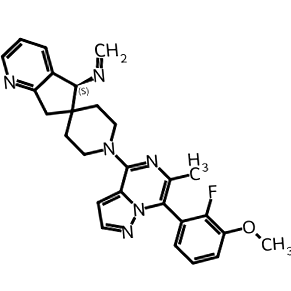 C=N[C@@H]1c2cccnc2CC12CCN(c1nc(C)c(-c3cccc(OC)c3F)n3nccc13)CC2